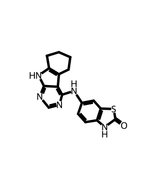 O=c1[nH]c2ccc(Nc3ncnc4[nH]c5c(c34)CCCC5)cc2s1